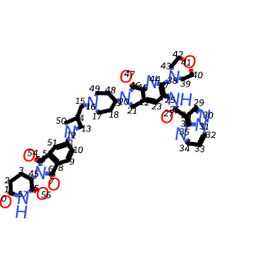 O=C1CCC(N2C(=O)c3ccc(N4CC(CN5CCC(N6Cc7cc(NC(=O)c8cnn9cccnc89)c(N8CCOCC8)nc7C6=O)CC5)C4)cc3C2=O)C(=O)N1